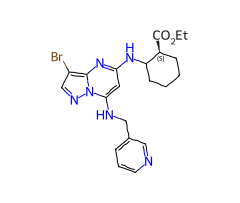 CCOC(=O)[C@H]1CCCCC1Nc1cc(NCc2cccnc2)n2ncc(Br)c2n1